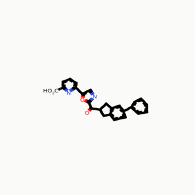 O=C(O)c1cccc(-c2cnc(C(=O)C3Cc4ccc(-c5ccccc5)cc4C3)o2)n1